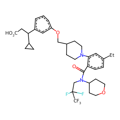 CCc1ccc(C(=O)N(CC(F)(F)C(F)(F)F)C2CCOCC2)c(N2CCC(COc3cccc(C(CC(=O)O)C4CC4)c3)CC2)c1